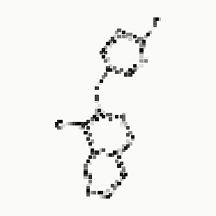 O=c1c2ccccc2cnn1Cc1ccc(F)cc1